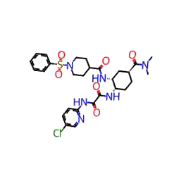 CN(C)C(=O)[C@H]1CC[C@H](NC(=O)C(=O)Nc2ccc(Cl)cn2)[C@H](NC(=O)C2CCN(S(=O)(=O)c3ccccc3)CC2)C1